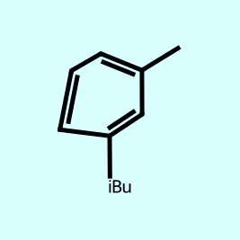 CCC(C)c1cccc(C)c1